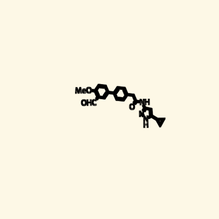 COc1ccc(-c2ccc(CC(=O)Nc3cc(C4CC4)[nH]n3)cc2)cc1C=O